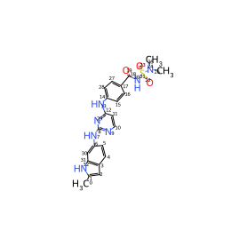 Cc1cc2ccc(Nc3nccc(Nc4ccc(C(=O)NS(=O)(=O)N(C)C)cc4)n3)cc2[nH]1